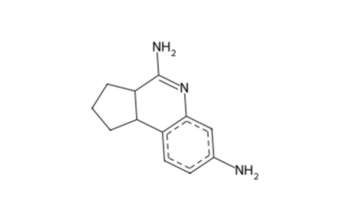 NC1=Nc2cc(N)ccc2C2CCCC12